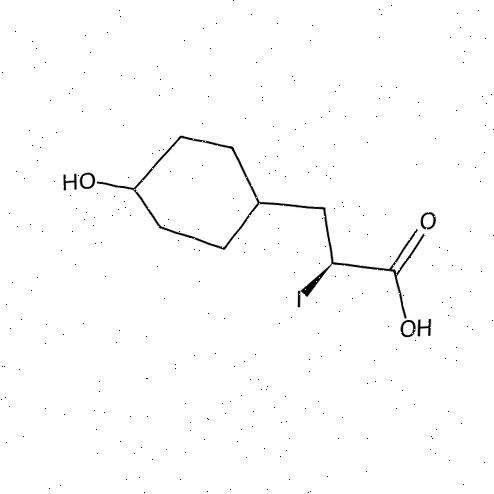 O=C(O)[C@@H](I)CC1CCC(O)CC1